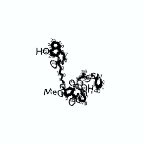 COc1cc2c(cc1OCCCCCC(=O)N1CCc3c1cc(O)c1ccccc31)N(C(=O)OCC(C)SSc1ccccn1)C(O)[C@@H]1CCCN1C2=O